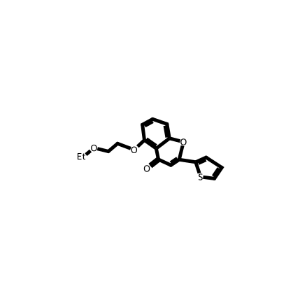 CCOCCOc1cccc2oc(-c3cccs3)cc(=O)c12